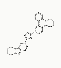 c1ccc2c(c1)sc1ccc(-c3ccc(-c4ccc5c6ccccc6c6ccccc6c5c4)o3)cc12